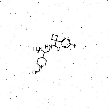 NC(CNC(=O)C1(c2ccc(F)cc2)CCC1)C1CCN(C=O)CC1